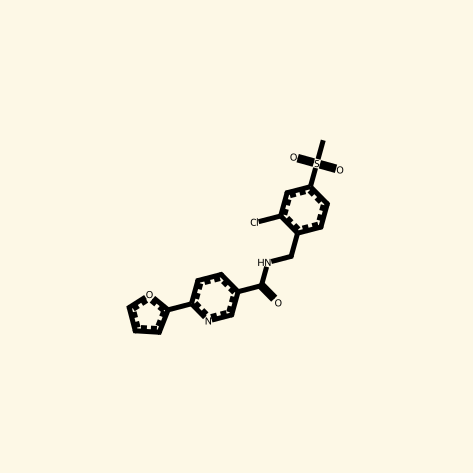 CS(=O)(=O)c1ccc(CNC(=O)c2ccc(-c3ccco3)nc2)c(Cl)c1